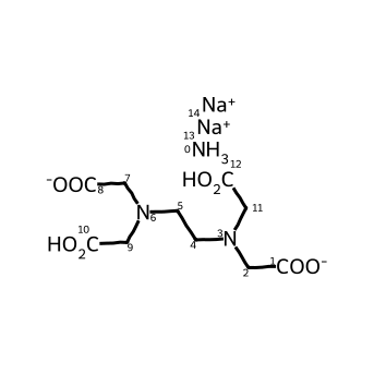 N.O=C([O-])CN(CCN(CC(=O)[O-])CC(=O)O)CC(=O)O.[Na+].[Na+]